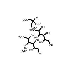 O=C([O-])C(O)C(O)C(O)C(O)CO.O=C([O-])C(O)C(O)C(O)C(O)CO.O=C([O-])CC(O)(CC(=O)[O-])C(=O)[O-].[Ca+2].[Na+].[Zn+2]